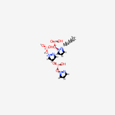 [H-].[Na+].[Na+].[Na+].[Na+].[O-]B(O)On1cccn1.[O-]B(O)On1cccn1.[O-]B(O)On1cccn1